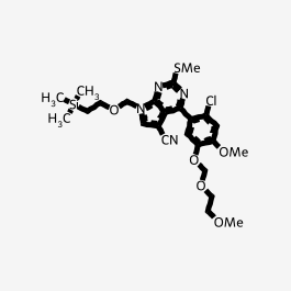 COCCOCOc1cc(-c2nc(SC)nc3c2c(C#N)cn3COCC[Si](C)(C)C)c(Cl)cc1OC